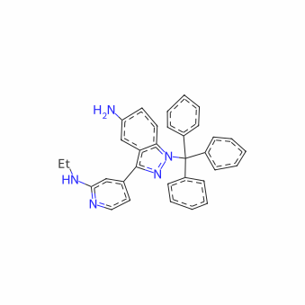 CCNc1cc(-c2nn(C(c3ccccc3)(c3ccccc3)c3ccccc3)c3ccc(N)cc23)ccn1